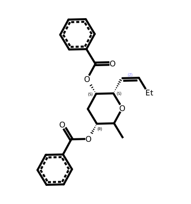 CC/C=C\[C@@H]1OC(C)[C@H](OC(=O)c2ccccc2)C[C@@H]1OC(=O)c1ccccc1